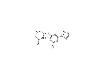 O=C1COCC(Cc2cc(Cl)cc(-n3nccn3)c2)N1